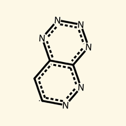 [c]1cc2nnnnc2nn1